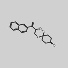 C=C(c1ccc2ccccc2c1)C1COC2(CCC(=O)CC2)OO1